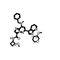 CO[C@H]1CCC1NC(=O)c1cnc2c(N(C)Cc3ccccc3)cc(-c3cn([C@H]4CCOC[C@@H]4OC)c4ncccc34)nn12